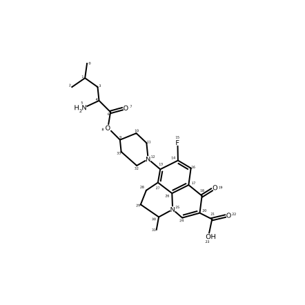 CC(C)CC(N)C(=O)OC1CCN(c2c(F)cc3c(=O)c(C(=O)O)cn4c3c2CCC4C)CC1